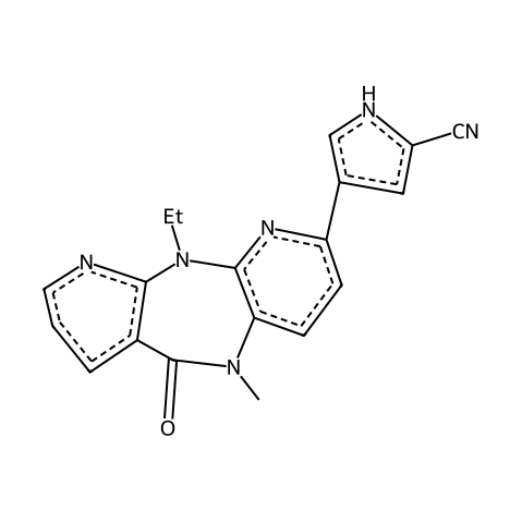 CCN1c2ncccc2C(=O)N(C)c2ccc(-c3c[nH]c(C#N)c3)nc21